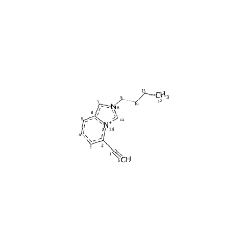 C#Cc1cccc2cn(CCCC)c[n+]12